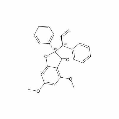 C=C[C@@H](c1ccccc1)[C@]1(c2ccccc2)Oc2cc(OC)cc(OC)c2C1=O